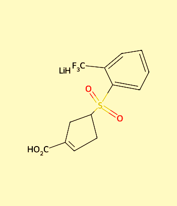 O=C(O)C1=CCC(S(=O)(=O)c2ccccc2C(F)(F)F)C1.[LiH]